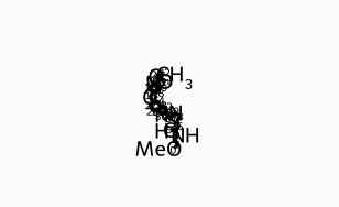 COCCNC(=O)CC1CN=C(c2cc3cc(Oc4ccc(S(C)(=O)=O)nc4)ccc3[nH]2)S1